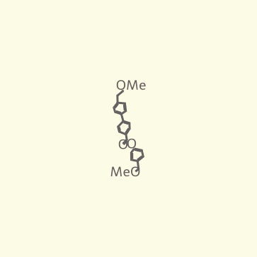 COCCc1ccc(-c2ccc(C(=O)Oc3ccc(COC)cc3)cc2)cc1